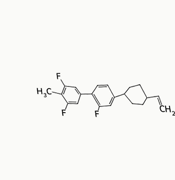 C=CC1CCC(c2ccc(-c3cc(F)c(C)c(F)c3)c(F)c2)CC1